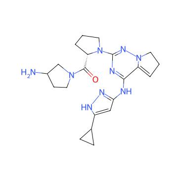 NC1CCN(C(=O)[C@@H]2CCCN2C2=NN3CCC=C3C(Nc3cc(C4CC4)[nH]n3)=N2)C1